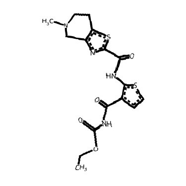 CCOC(=O)NC(=O)c1ccsc1NC(=O)c1nc2c(s1)CCN(C)C2